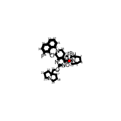 CC(C)(C)OC(=O)N1C2CCC1CN(c1nc(OCC34CCCN3CCC4)nc3c1CCN(c1cccc4ccc(F)c(Cl)c14)C3)C2